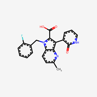 Cc1ccc2c(n1)c(-c1ccc[nH]c1=O)c(C(=O)O)n2Cc1ccccc1F